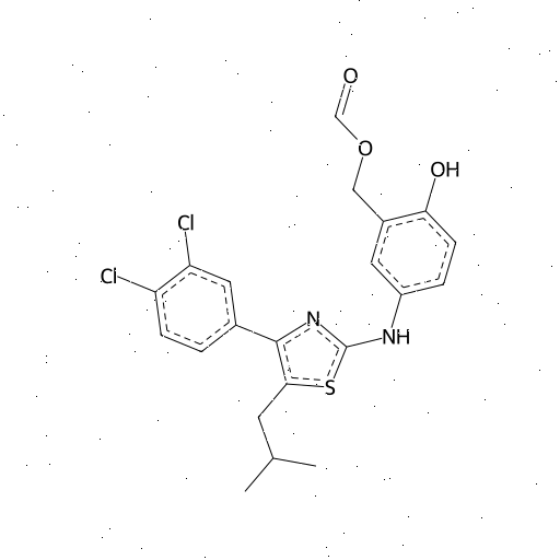 CC(C)Cc1sc(Nc2ccc(O)c(COC=O)c2)nc1-c1ccc(Cl)c(Cl)c1